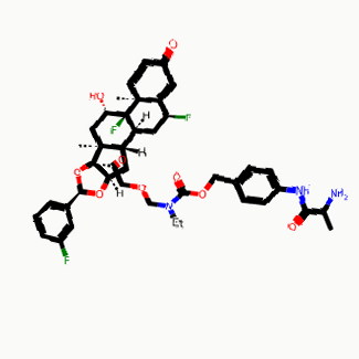 CCN(COCC(=O)[C@@]12O[C@H](c3cccc(F)c3)O[C@@H]1C[C@H]1[C@@H]3C[C@H](F)C4=CC(=O)C=C[C@]4(C)[C@@]3(F)[C@@H](O)C[C@@]12C)C(=O)OCc1ccc(NC(=O)C(C)N)cc1